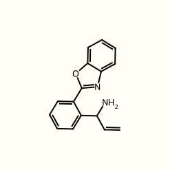 C=CC(N)c1ccccc1-c1nc2ccccc2o1